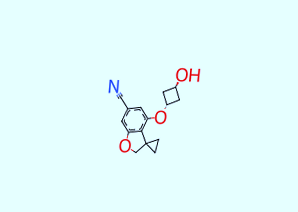 N#Cc1cc2c(c(O[C@H]3C[C@H](O)C3)c1)C1(CC1)CO2